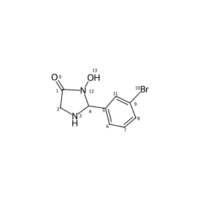 O=C1CNC(c2cccc(Br)c2)N1O